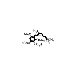 CCCCCc1cc(OC)c(C/C=C(\C)CCC=C(C)C)c(OC)c1C(=O)O